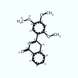 COc1cc(OC)c(C2=NC(=O)c3ccccc3C2)cc1OC